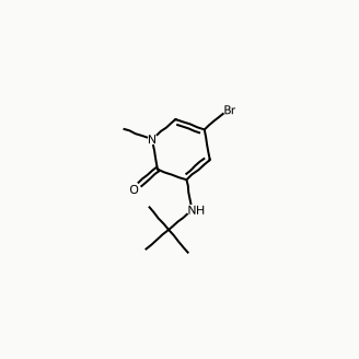 Cn1cc(Br)cc(NC(C)(C)C)c1=O